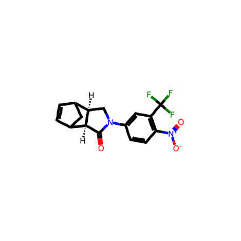 O=C1[C@H]2C3C=CC(C3)[C@H]2CN1c1ccc([N+](=O)[O-])c(C(F)(F)F)c1